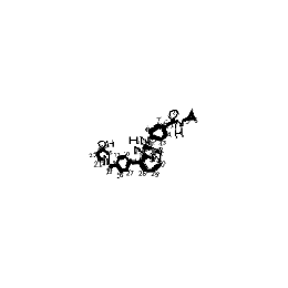 O=C(NC1CC1)c1ccc(Nc2nc3c(-c4ccc(CN5CC[C@@H](O)C5)cc4)cccn3n2)cc1